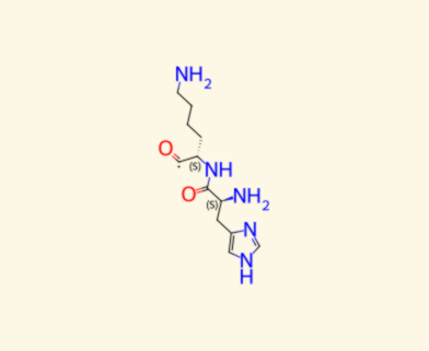 NCCCC[C@@H]([C]=O)NC(=O)[C@@H](N)Cc1c[nH]cn1